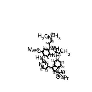 C=CC(=O)Nc1cc(Nc2nccc(-c3cn(S(=O)(=O)C(C)C)c4ccccc34)n2)c(OC)cc1N(C)CCN(C)C